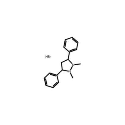 Br.CN1C(c2ccccc2)CC(c2ccccc2)N1C